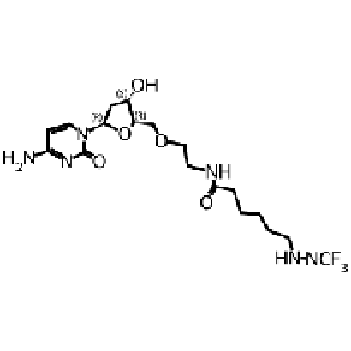 Nc1ccn([C@H]2C[C@H](O)[C@@H](COCCNC(=O)CCCCCNNC(F)(F)F)O2)c(=O)n1